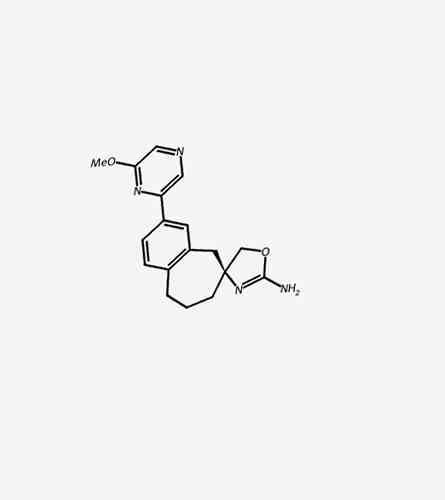 COc1cncc(-c2ccc3c(c2)C[C@@]2(CCC3)COC(N)=N2)n1